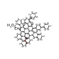 CC(C)c1cccc2oc3c(ccc4c(C(=Nc5ccccc5)c5ccccc5)c(C(c5ccccc5)c5ccc6ccccc6c5)c5cc(-c6ccc(-c7ccccc7)cc6)c6oc7c(N8C=CC=CC8)cccc7c6c5c43)c12